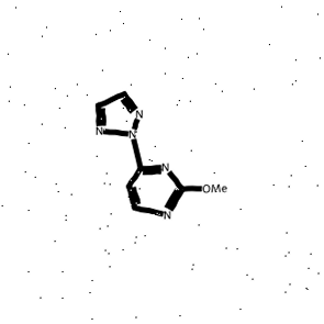 COc1nccc(-n2nccn2)n1